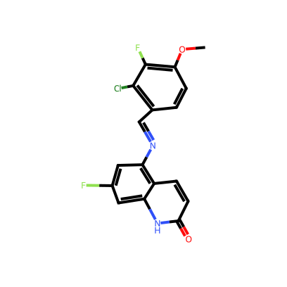 COc1ccc(/C=N/c2cc(F)cc3[nH]c(=O)ccc23)c(Cl)c1F